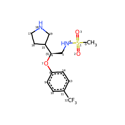 CS(=O)(=O)NC[C@@H](Oc1ccc(C(F)(F)F)cc1)C1CCNC1